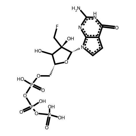 Nc1nc2c(ccn2[C@@H]2O[C@H](COP(=O)(O)OP(=O)(O)OP(=O)(O)O)C(O)[C@]2(O)CF)c(=O)[nH]1